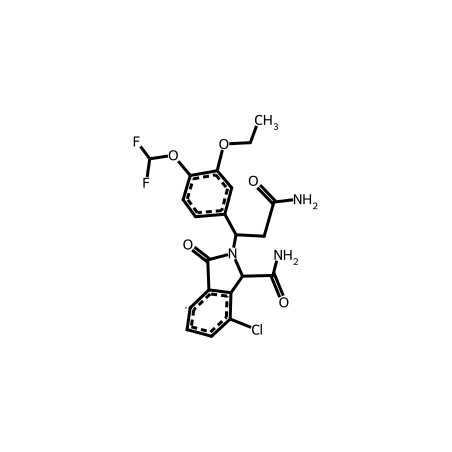 CCOc1cc(C(CC(N)=O)N2C(=O)c3[c]ccc(Cl)c3C2C(N)=O)ccc1OC(F)F